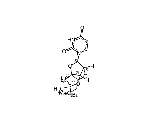 CC[C@]12O[C@@H](n3ccc(=O)[nH]c3=O)[C@H](O[C@@H]1COC)[C@@H]2O[Si](C)(C)C(C)(C)C